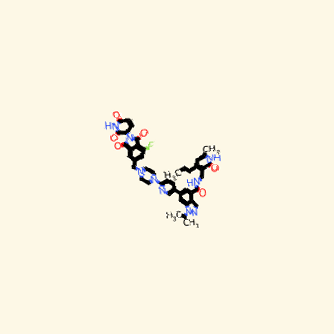 CCCc1cc(C)[nH]c(=O)c1CNC(=O)c1cc(-c2ccc(N3CCN(Cc4cc(F)c5c(c4)C(=O)N(C4CCC(=O)NC4=O)C5=O)CC3)nc2)cc2c1cnn2C(C)C